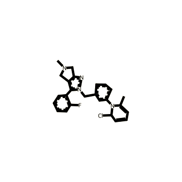 CC1=CC=CC(Cl)N1c1cccc(Cn2nc3c(c2-c2ccccc2F)CN(C)C3)c1